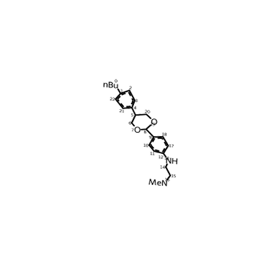 CCCCc1ccc(C2COC(c3ccc(NCCNC)cc3)OC2)cc1